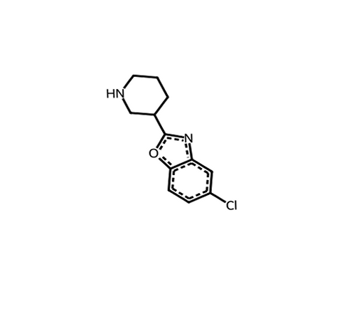 Clc1ccc2oc(C3CCCNC3)nc2c1